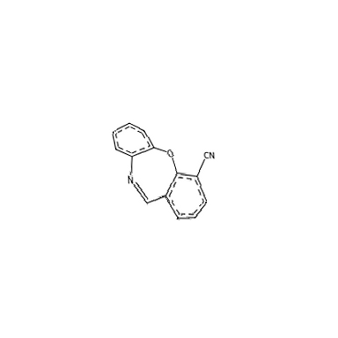 N#Cc1cccc2c1Oc1ccccc1N=C2